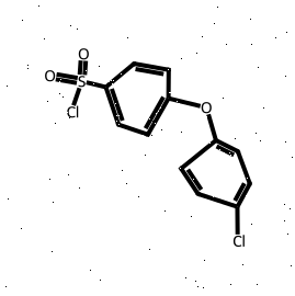 O=S(=O)(Cl)c1ccc(Oc2ccc(Cl)cc2)cc1